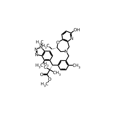 CC[C@H]1CN(Cc2cc([C@@H](c3ccc4c(nnn4C)c3C)C(C)(C)C(=O)OC)ccc2C)Cc2nc(O)ccc2O1